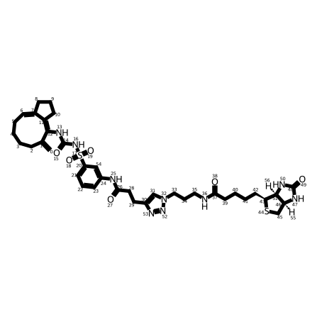 C=C1CCCC/C=C2/CCC/C2=C/1NC(=O)NS(=O)(=O)c1cccc(NC(=O)CCc2cn(CCCNC(=O)CCCC[C@@H]3SC[C@@H]4NC(=O)N[C@@H]43)nn2)c1